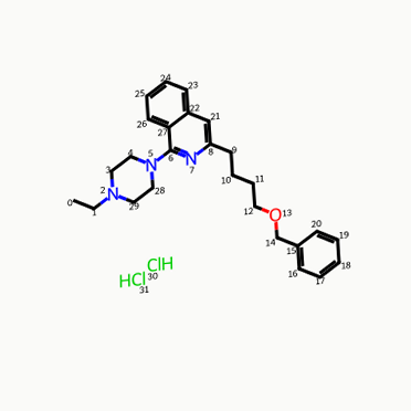 CCN1CCN(c2nc(CCCCOCc3ccccc3)cc3ccccc23)CC1.Cl.Cl